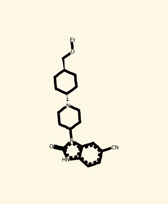 CCOC[C@H]1CC[C@H](N2CCC(n3c(=O)[nH]c4ccc(C#N)cc43)CC2)CC1